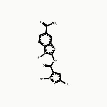 CCCn1nc(C)cc1C(=O)Nc1nc2cc(C(N)=O)ccc2n1CCC